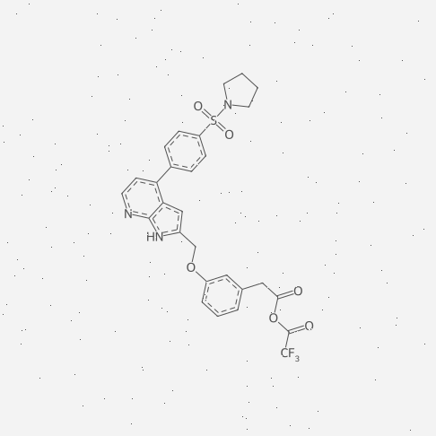 O=C(Cc1cccc(OCc2cc3c(-c4ccc(S(=O)(=O)N5CCCC5)cc4)ccnc3[nH]2)c1)OC(=O)C(F)(F)F